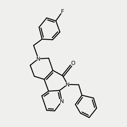 O=c1c2c(c3cccnc3n1Cc1ccccc1)CCN(Cc1ccc(F)cc1)C2